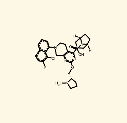 CN1CCC[C@H]1COc1nc2c(c(N3C[C@H]4CC[C@@H](C3)N4C(=O)O)n1)CCN(c1cccc3ccc(F)c(Cl)c13)C2